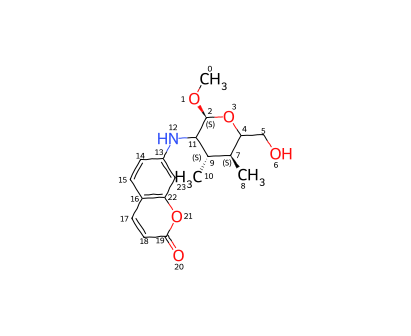 CO[C@H]1OC(CO)[C@@H](C)[C@H](C)C1Nc1ccc2ccc(=O)oc2c1